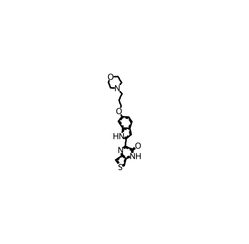 O=c1[nH]c2cscc2nc1-c1cc2ccc(OCCCN3CCOCC3)cc2[nH]1